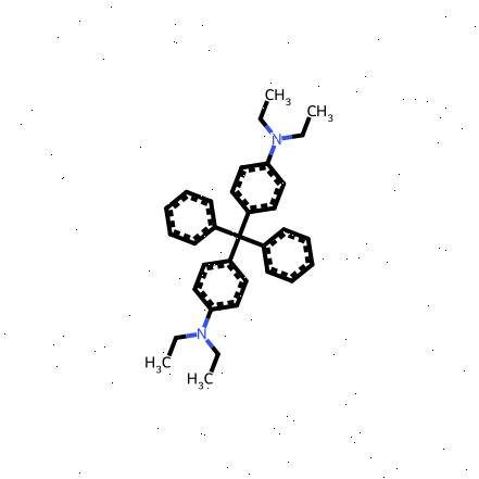 CCN(CC)c1ccc(C(c2ccccc2)(c2ccccc2)c2ccc(N(CC)CC)cc2)cc1